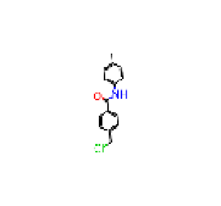 Cc1ccc(NC(=O)c2ccc(CCl)cc2)cc1